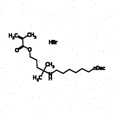 Br.C=C(C)C(=O)OCCCC(C)(C)NCCCCCCCCCCCCCCCC